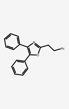 CC(=O)CCc1nc(-c2ccccc2)c(-c2ccccc2)o1